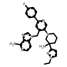 CCn1ccc(C2(N)CCCN(c3cnc(-c4ccc(F)cc4)cc3Cn3cnc4c(N)nccc43)C2)n1